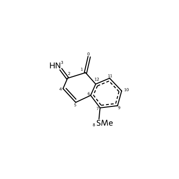 C=C1C(=N)C=Cc2c(SC)cccc21